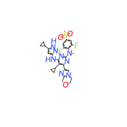 CN(c1nc(Nc2cc(C3CC3)[nH]n2)c(C2CC2)c(-c2cn3c(n2)COCC3)n1)c1c(F)cc(S(C)(=O)=O)cc1F